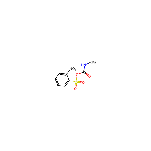 CC(C)(C)NC(=O)OS(=O)(=O)c1ccccc1[N+](=O)[O-]